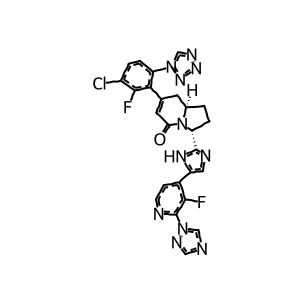 O=C1C=C(c2c(-n3cnnn3)ccc(Cl)c2F)C[C@H]2CC[C@H](c3ncc(-c4ccnc(-n5cncn5)c4F)[nH]3)N12